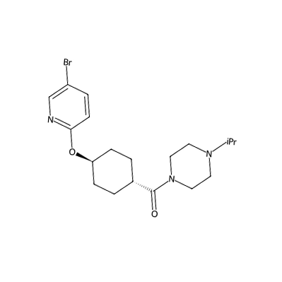 CC(C)N1CCN(C(=O)[C@H]2CC[C@H](Oc3ccc(Br)cn3)CC2)CC1